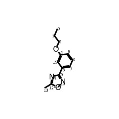 CCCOc1cccc(-c2noc(C)n2)c1